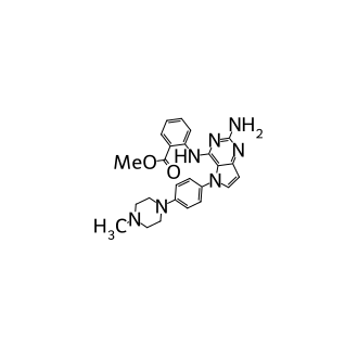 COC(=O)c1ccccc1Nc1nc(N)nc2ccn(-c3ccc(N4CCN(C)CC4)cc3)c12